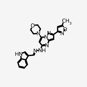 Cc1cc(-c2cc3nc(N/N=C/c4c[nH]c5ccccc45)cc(N4CCOCC4)n3n2)no1